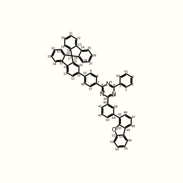 c1ccc(-c2nc(-c3ccc(-c4ccc5c(c4)C4(c6ccccc6-c6ccccc64)c4ccccc4-5)cc3)nc(-c3cccc(-c4cccc5c4oc4ccccc45)c3)n2)cc1